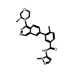 Cc1ccc(C(=O)Nc2ccnn2C)cc1-c1ccc2c(N3CCOC[C@@H]3C)nncc2c1